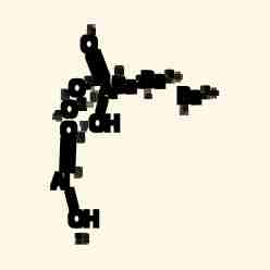 [Ba+2].[Ba+2].[Ba+2].[O-2].[O-2].[O]=[Al][OH].[O]=[Al][OH]